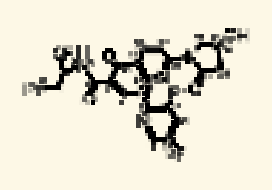 CC(C)CC(NC(=O)c1cn(-c2ncc(F)cc2F)c2nc(N3C[C@@H](O)CC3=O)ccc2c1=O)C(F)(F)F